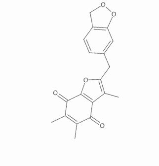 CC1=C(C)C(=O)c2c(oc(Cc3ccc4c(c3)OOC4)c2C)C1=O